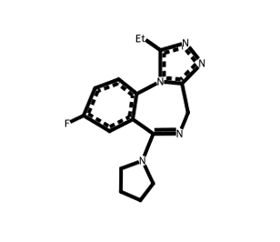 CCc1nnc2n1-c1ccc(F)cc1C(N1CCCC1)=NC2